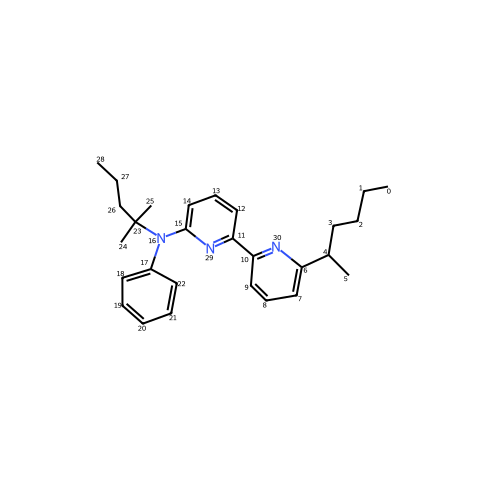 CCCCC(C)c1cccc(-c2cccc(N(c3ccccc3)C(C)(C)CCC)n2)n1